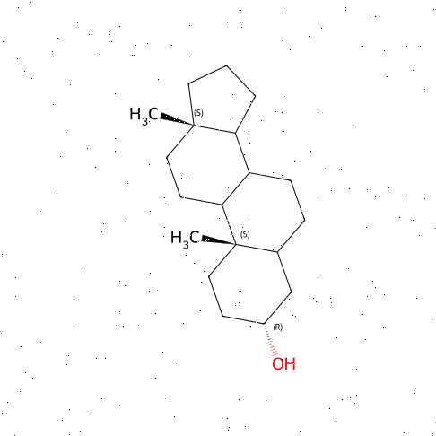 C[C@@]12CCCC1C1CCC3C[C@H](O)CC[C@]3(C)C1CC2